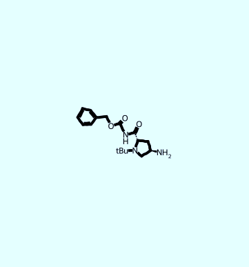 CC(C)(C)N1C[C@H](N)C[C@H]1C(=O)NC(=O)OCc1ccccc1